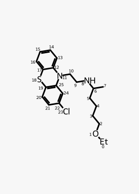 CCOCCCCC(C)NCCN1c2ccccc2Sc2ccc(Cl)cc21